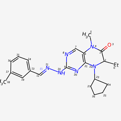 CCC1C(=O)N(C)c2cnc(N/N=C/c3cccc(C)c3)nc2N1C1CCCC1